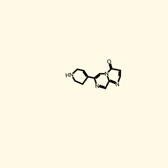 O=c1ccnc2cnc(C3=CCNCC3)cn12